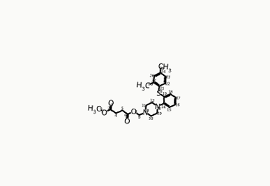 COC(=O)CCC(=O)OCN1CCN(c2ccccc2Sc2ccc(C)cc2C)CC1